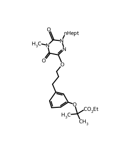 CCCCCCCn1nc(OCCCc2cccc(OC(C)(C)C(=O)OCC)c2)c(=O)n(C)c1=O